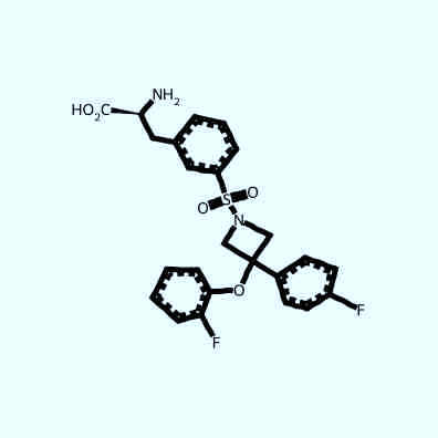 N[C@@H](Cc1cccc(S(=O)(=O)N2CC(Oc3ccccc3F)(c3ccc(F)cc3)C2)c1)C(=O)O